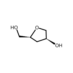 OC[C@@H]1C[C@H](O)CO1